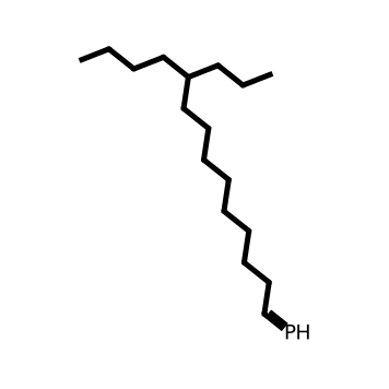 CCCCC(CCC)CCCCCCCCC=P